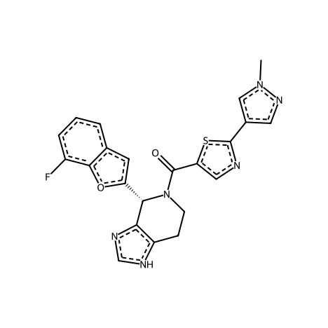 Cn1cc(-c2ncc(C(=O)N3CCc4[nH]cnc4[C@@H]3c3cc4cccc(F)c4o3)s2)cn1